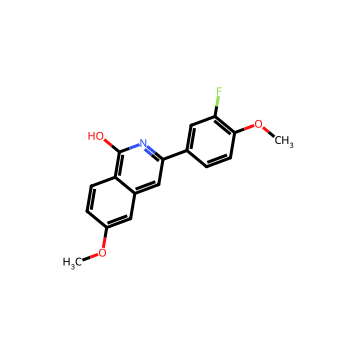 COc1ccc2c(O)nc(-c3ccc(OC)c(F)c3)cc2c1